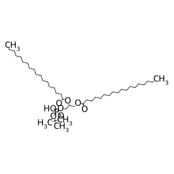 CCCCCCCCCCCCCCCCCC(=O)OCC(COP(=O)(O)OC(C)(C)C)OC(=O)CCCCCCCCCCCCCCCCC